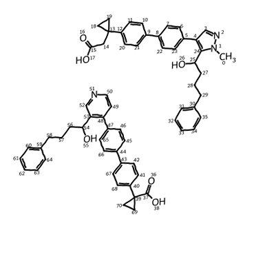 Cn1ncc(-c2ccc(-c3ccc(C4(CC(=O)O)CC4)cc3)cc2)c1C(O)CCCc1ccccc1.O=C(O)C1(c2ccc(-c3ccc(-c4ccncc4C(O)CCCc4ccccc4)cc3)cc2)CC1